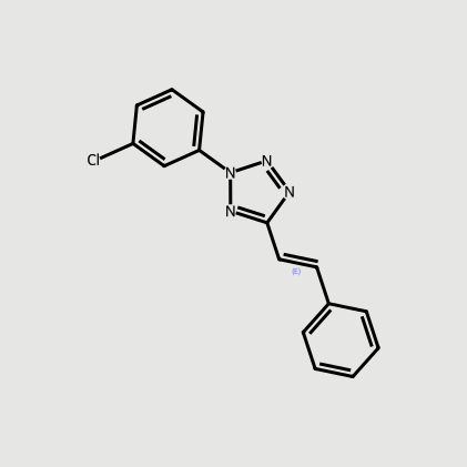 Clc1cccc(-n2nnc(/C=C/c3ccccc3)n2)c1